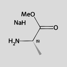 COC(=O)[C@H](C)N.[NaH]